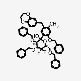 Cc1cc(OCc2ccccc2)c(C2(O)O[C@H](COCc3ccccc3)C(F)(F)[C@H](OCc3ccccc3)[C@H]2OCc2ccccc2)cc1Cc1ccc2c(c1)OCCO2